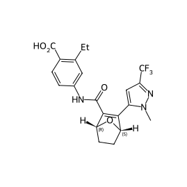 CCc1cc(NC(=O)C2=C(c3cc(C(F)(F)F)nn3C)[C@@H]3CC[C@H]2O3)ccc1C(=O)O